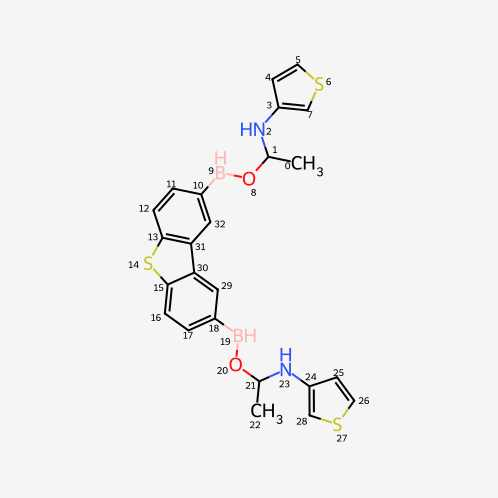 CC(Nc1ccsc1)OBc1ccc2sc3ccc(BOC(C)Nc4ccsc4)cc3c2c1